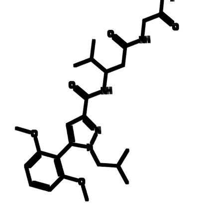 COc1cccc(OC)c1-c1cc(C(=O)NC(CC(=O)NCC(N)=O)C(C)C)nn1CC(C)C